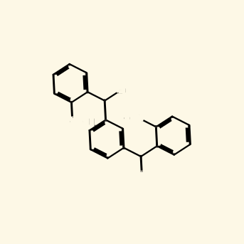 CCC(c1cccc(C(CC)c2ccccc2C(=O)O)c1)c1ccccc1C(=O)O